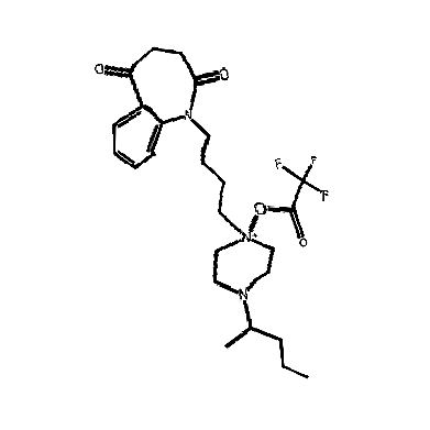 CCCC(C)N1CC[N+](CCCCN2C(=O)CCC(=O)c3ccccc32)(OC(=O)C(F)(F)F)CC1